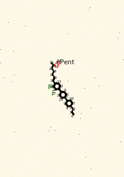 C=CCc1ccc(-c2ccc(-c3ccc(C=CCCCC(C)OCCCCC)c(F)c3F)cc2)cc1